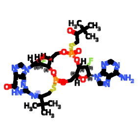 CC(C)(C)C(=O)CSP1(=O)OC[C@H]2O[C@@H]3[C@H](F)[C@@H]2OP(=O)(OC[C@H]2O[C@@H](n4cnc5c(N)ncnc54)[C@H](F)[C@@H]2O1)SC/C(C(C)(C)C)=N\c1nc2c(ncn23)c(=O)[nH]1